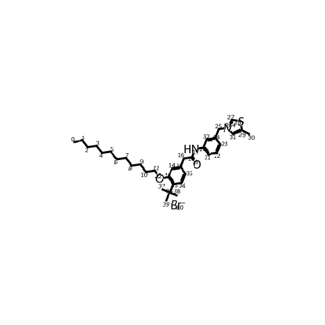 CCCCCCCCCCCCOc1cc(CC(=O)Nc2cccc(C[n+]3csc(C)c3)c2)ccc1C(C)(C)C.[Br-]